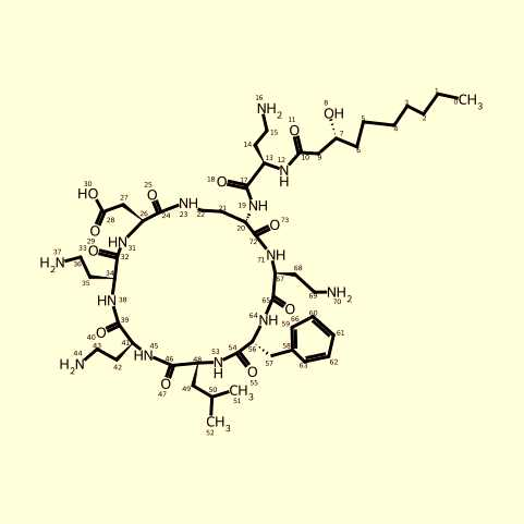 CCCCCCC[C@@H](O)CC(=O)N[C@H](CCN)C(=O)N[C@H]1CCNC(=O)[C@H](CC(=O)O)NC(=O)[C@H](CCN)NC(=O)[C@H](CCN)NC(=O)[C@H](CC(C)C)NC(=O)[C@@H](Cc2ccccc2)NC(=O)[C@H](CCN)NC1=O